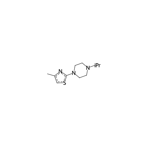 Cc1csc(N2CCN(C(C)C)CC2)n1